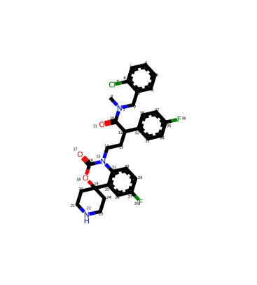 CN(Cc1ccccc1Cl)C(=O)C(CCN1C(=O)OC2(CCNCC2)c2cc(F)ccc21)c1ccc(F)cc1